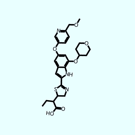 CCC(C(=O)O)C1CN=C(c2cc3cc(Oc4ccc(COC)nc4)cc(OC4CCOCC4)c3[nH]2)S1